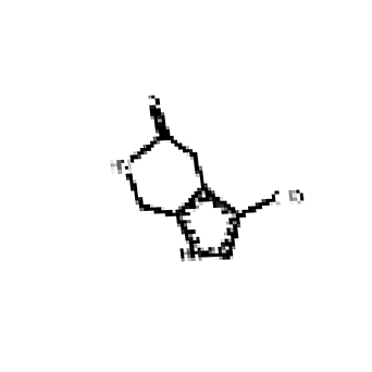 O=Cc1c[nH]c2c1CC(=O)NC2